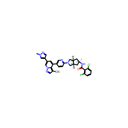 Cn1cc(-c2cc(-c3ccc(N4C[C@@H]5C[C@@](C)(NC(=O)c6c(F)cccc6Cl)C[C@@H]5C4)nc3)c3c(C#N)cnn3c2)cn1